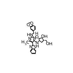 Cc1nc(NCc2ccc3c(c2)OCO3)nc(N[C@@H]2C[C@H](CO)[C@@H](O)[C@H]2O)c1-c1nc2ccccc2s1